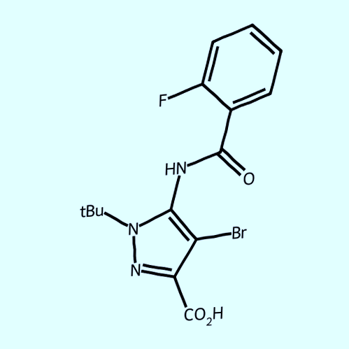 CC(C)(C)n1nc(C(=O)O)c(Br)c1NC(=O)c1ccccc1F